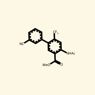 COC(=O)c1cc(-c2cccc(C#N)c2)c(C(F)(F)F)cc1NC(C)=O